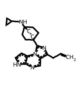 C=CCc1nc(C23CCC(NC4CC4)(CC2)CC3)n2c1cnc1[nH]ccc12